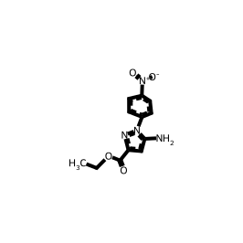 CCOC(=O)c1cc(N)n(-c2ccc([N+](=O)[O-])cc2)n1